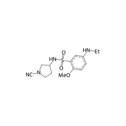 CCNc1ccc(OC)c(S(=O)(=O)NC2CCN(C#N)C2)c1